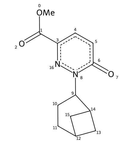 COC(=O)c1ccc(=O)n(C2CCC3CC2C3)n1